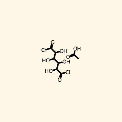 CC(=O)O.O=C(Cl)C(O)C(O)C(O)C(O)C(=O)Cl